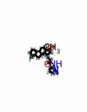 C[C@]12CCC3c4cccc(F)c4CCC3C1[C@H](CCC(=O)Nc1cccnn1)CC2=O